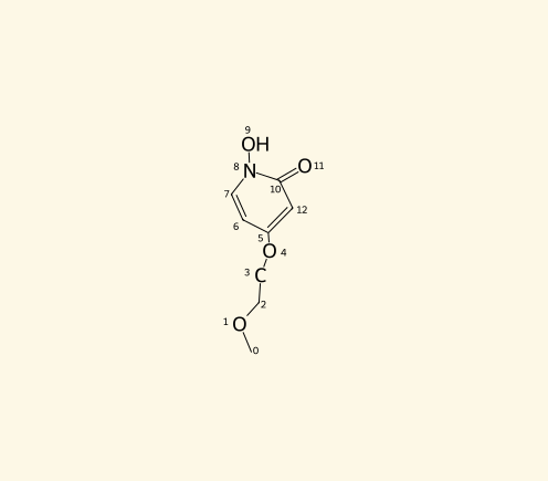 COCCOc1ccn(O)c(=O)c1